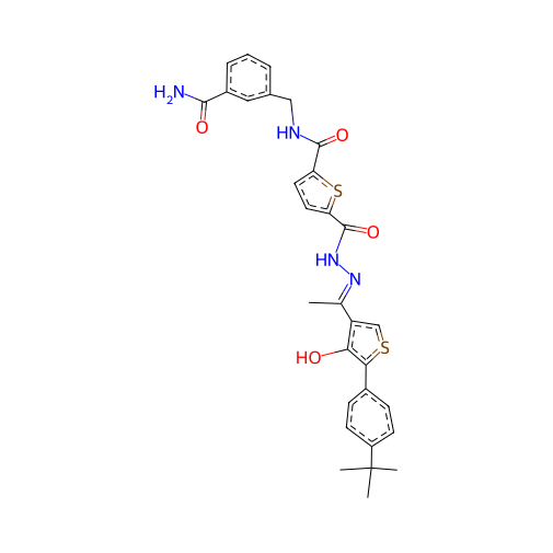 C/C(=N\NC(=O)c1ccc(C(=O)NCc2cccc(C(N)=O)c2)s1)c1csc(-c2ccc(C(C)(C)C)cc2)c1O